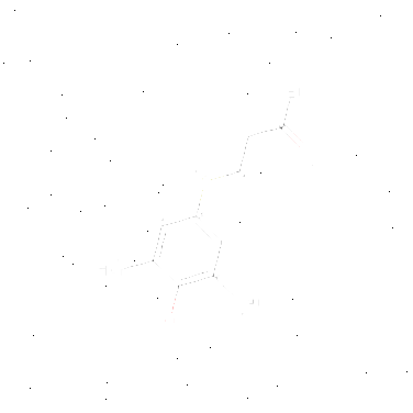 CCC(=O)CCSc1cc(C(C)(C)C)c(O)c(C(C)(C)C)c1